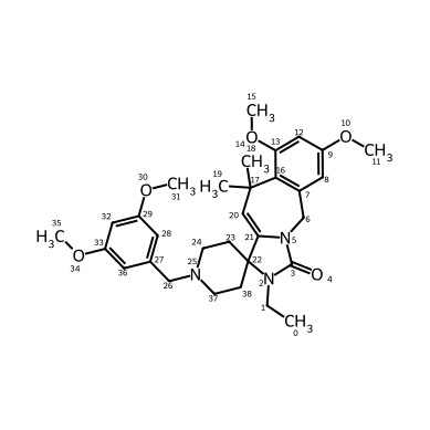 CCN1C(=O)N2Cc3cc(OC)cc(OC)c3C(C)(C)C=C2C12CCN(Cc1cc(OC)cc(OC)c1)CC2